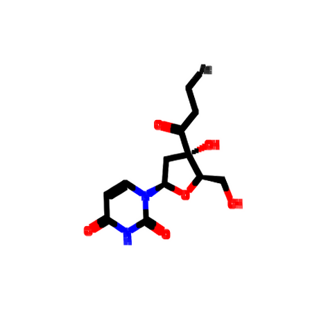 CC(=O)CCC(=O)[C@]1(O)C[C@H](n2ccc(=O)[nH]c2=O)O[C@@H]1CO